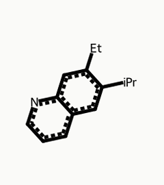 CCc1cc2ncccc2cc1C(C)C